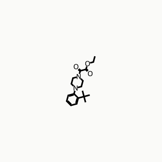 CCOC(=O)C(=O)N1CCN(c2ccccc2C(C)(C)C)CC1